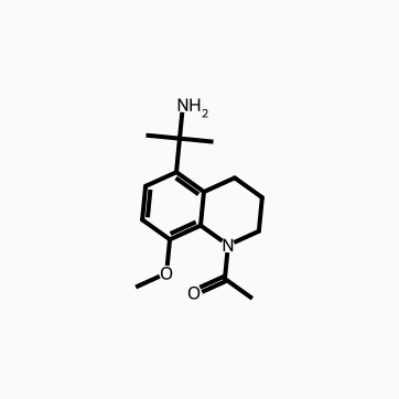 COc1ccc(C(C)(C)N)c2c1N(C(C)=O)CCC2